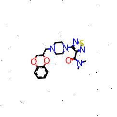 CN(C)C(=O)c1nsnc1N1CCN(CC2COc3ccccc3O2)CC1